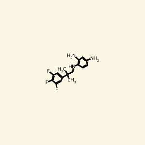 CC(C)(CNc1ccc(N)cc1N)c1cc(F)c(F)c(F)c1